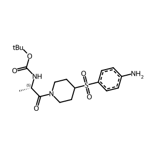 C[C@H](NC(=O)OC(C)(C)C)C(=O)N1CCC(S(=O)(=O)c2ccc(N)cc2)CC1